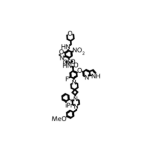 COc1ccc(CN2CCN(C3CC4(CCN(c5cc(Oc6cnc7[nH]ccc7c6)c(C(=O)NS(=O)(=O)c6cc([N+](=O)[O-])c(NCC7CCOCC7)c7ocnc67)cc5F)CC4)C3)[C@H](c3ccccc3C(C)C)C2)cc1